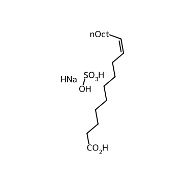 CCCCCCCC/C=C\CCCCCCCC(=O)O.O=S(=O)(O)O.[NaH]